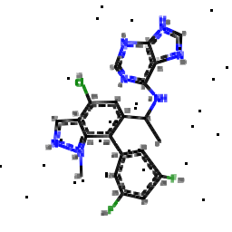 CC(Nc1ncnc2[nH]cnc12)c1cc(Cl)c2cnn(C)c2c1-c1cc(F)cc(F)c1